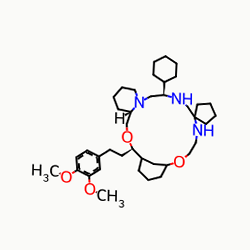 COc1ccc(CC[C@H]2OC[C@@H]3CCCCN3C[C@@H](C3CCCCC3)NCC3(CCCC3)NCCOC3CCCC2C3)cc1OC